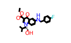 CCOC(=O)c1cn([C@H](CO)C(C)C)c2ccc(NCc3ccc(F)cc3)cc2c1=O